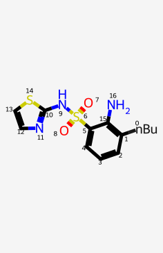 CCCCc1cccc(S(=O)(=O)Nc2nccs2)c1N